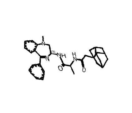 CC(NC(=O)CC12CC3CC(CC(C3)C1)C2)C(=O)N[C@@H]1CN(C)c2ccccc2C(c2ccccc2)=N1